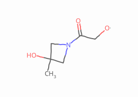 CC1(O)CN(C(=O)C[O])C1